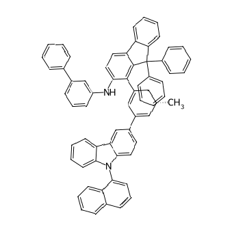 C[C@@H]1C=C(c2ccc3c(c2)c2ccccc2n3-c2cccc3ccccc23)C=C(c2c(Nc3cccc(-c4ccccc4)c3)ccc3c2C(c2ccccc2)(c2ccccc2)c2ccccc2-3)C1